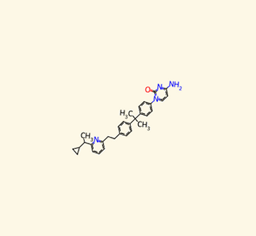 CC(c1cccc(CCc2ccc(C(C)(C)c3ccc(-n4ccc(N)nc4=O)cc3)cc2)n1)C1CC1